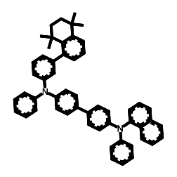 CC1(C)CCC(C)(C)c2c(-c3cccc(N(c4ccccc4)c4ccc(-c5ccc(N(c6ccccc6)c6cccc7ccccc67)cc5)cc4)c3)cccc21